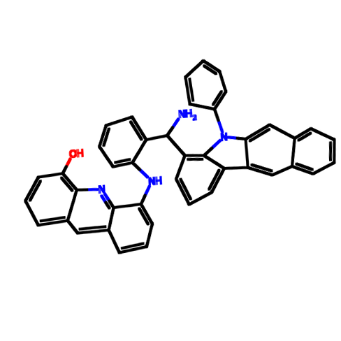 NC(c1ccccc1Nc1cccc2cc3cccc(O)c3nc12)c1cccc2c3cc4ccccc4cc3n(-c3ccccc3)c12